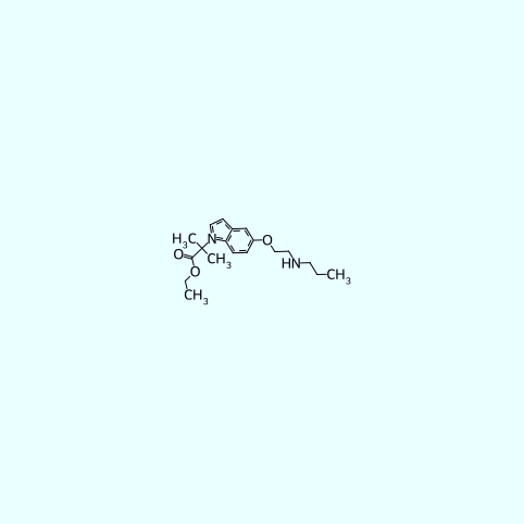 CCCNCCOc1ccc2c(ccn2C(C)(C)C(=O)OCC)c1